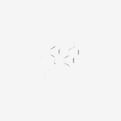 CCCCOC(=O)c1c(O)ccc(O)c1-c1c(O)ccc2ccc(OC)cc12